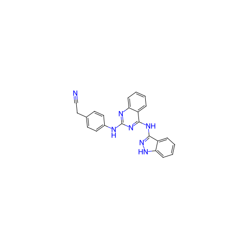 N#CCc1ccc(Nc2nc(Nc3n[nH]c4ccccc34)c3ccccc3n2)cc1